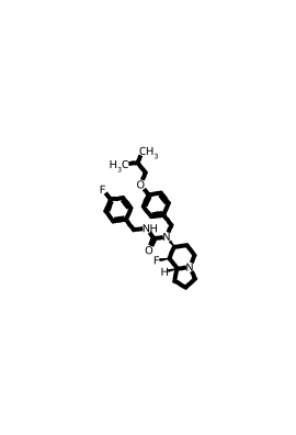 CC(C)COc1ccc(CN(C(=O)NCc2ccc(F)cc2)[C@H]2CCN3CCC[C@@H]3[C@H]2F)cc1